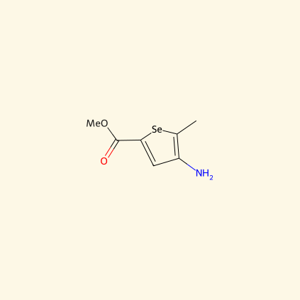 COC(=O)c1cc(N)c(C)[se]1